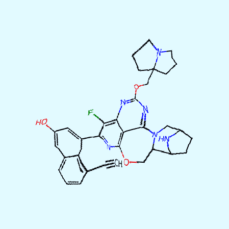 C#Cc1cccc2cc(O)cc(-c3nc4c5c(nc(OCC67CCCN6CCC7)nc5c3F)N3CC5CCC(N5)C3CO4)c12